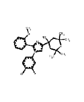 COc1ccccc1-c1nc(C2(O)CC(C)(C)OC(C)(C)C2)cn1-c1ccc(Cl)c(F)c1